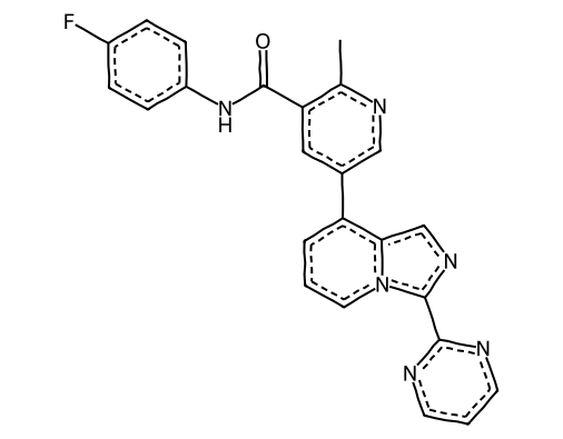 Cc1ncc(-c2cccn3c(-c4ncccn4)ncc23)cc1C(=O)Nc1ccc(F)cc1